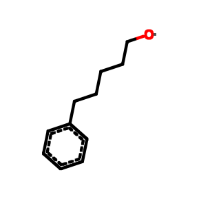 [O]CCCCCc1ccccc1